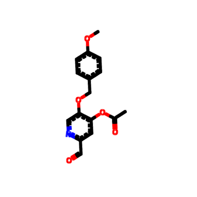 COc1ccc(COc2cnc(C=O)cc2OC(C)=O)cc1